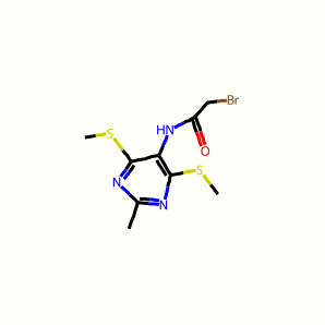 CSc1nc(C)nc(SC)c1NC(=O)CBr